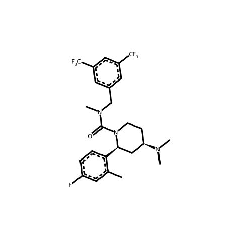 Cc1cc(F)ccc1[C@@H]1C[C@H](N(C)C)CCN1C(=O)N(C)Cc1cc(C(F)(F)F)cc(C(F)(F)F)c1